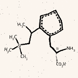 CC(C[Si](C)(C)C)c1ccccc1C[C@H](N)C(=O)O